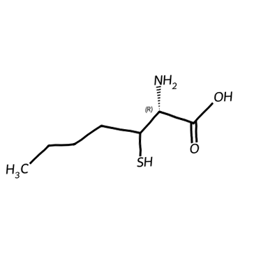 CCCCC(S)[C@H](N)C(=O)O